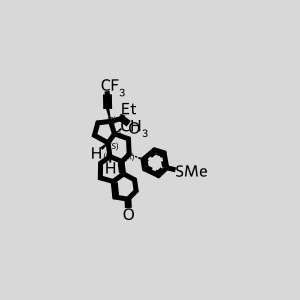 CCC(=O)[C@@]1(C#CC(F)(F)F)CC[C@H]2[C@@H]3CCC4=CC(=O)CCC4=C3[C@@H](c3ccc(SC)cc3)C[C@@]21C